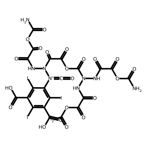 NC(=O)OC(=O)C(=O)NN(NC(=O)C(=O)OC(N)=O)C(=O)OC(=O)C(=O)N(NC(=O)C(=O)OC(N)=O)[N+](=C=O)c1c(I)c(C(=O)O)c(I)c(C(=O)O)c1I